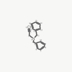 C#CCN(Cc1ccccc1)Cc1ccccc1